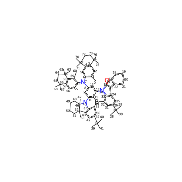 Cc1cc2c(cc1N(c1cc3c4c(c1)-n1c5oc6ccccc6c5c5cc(C(C)(C)C)cc(c51)B4c1cc(C(C)(C)C)cc4c1N3C1(C)CCCCC41C)c1ccc3c(c1C)C(C)(C)CCC3(C)C)C(C)(C)CCC2(C)C